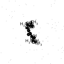 COC(=O)N[C@H](C(=O)N1CCC[C@H]1c1ncc(-c2ccc(-c3ccc(-c4cnc([C@@H]5C[Si](C)(C)CN5C(=O)[C@@H](NC(=O)OC)C5CCOCC5)[nH]4)cc3)c3ccccc23)[nH]1)C(C)C